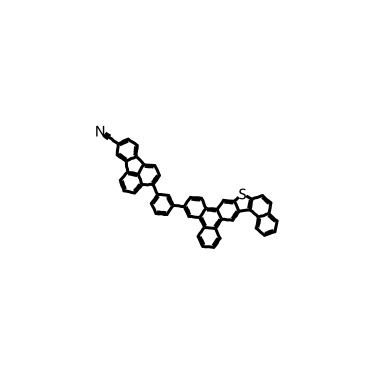 N#Cc1ccc2c(c1)-c1cccc3c(-c4cccc(-c5ccc6c(c5)c5ccccc5c5cc7c(cc65)sc5ccc6ccccc6c57)c4)ccc-2c13